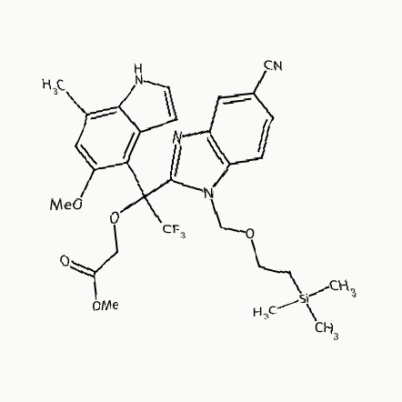 COC(=O)COC(c1c(OC)cc(C)c2[nH]ccc12)(c1nc2cc(C#N)ccc2n1COCC[Si](C)(C)C)C(F)(F)F